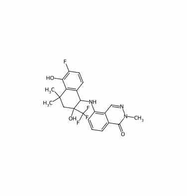 Cn1ncc2c(NC3c4ccc(F)c(O)c4C(C)(C)CC3(O)C(F)(F)F)cccc2c1=O